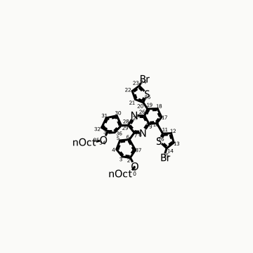 CCCCCCCCOc1cccc(-c2nc3c(-c4ccc(Br)s4)ccc(-c4ccc(Br)s4)c3nc2-c2cccc(OCCCCCCCC)c2)c1